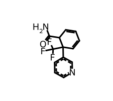 NC(=O)C1C=CC=CC1(c1cccnc1)C(F)(F)F